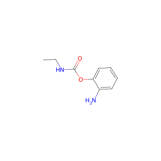 CCNC(=O)Oc1ccccc1N